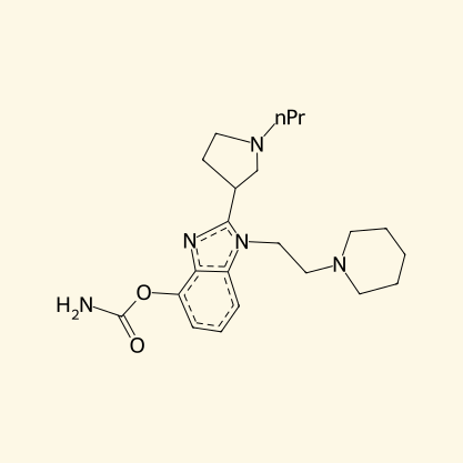 CCCN1CCC(c2nc3c(OC(N)=O)cccc3n2CCN2CCCCC2)C1